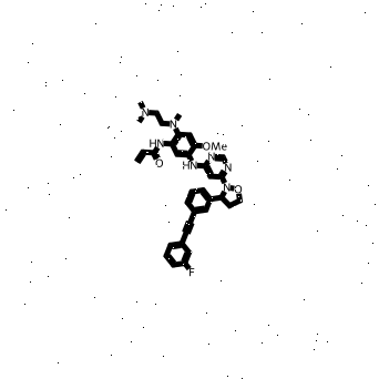 C=CC(=O)Nc1cc(Nc2cc(N3OCCC3c3cccc(C#Cc4cccc(F)c4)c3)ncn2)c(OC)cc1N(C)CCN(C)C